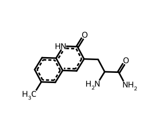 Cc1ccc2[nH]c(=O)c(CC(N)C(N)=O)cc2c1